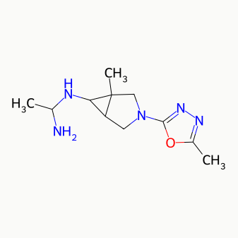 Cc1nnc(N2CC3C(NC(C)N)C3(C)C2)o1